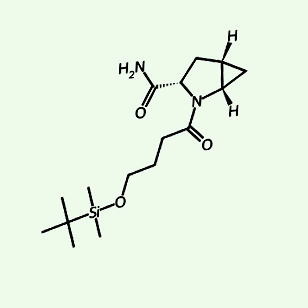 CC(C)(C)[Si](C)(C)OCCCC(=O)N1[C@H](C(N)=O)C[C@@H]2C[C@@H]21